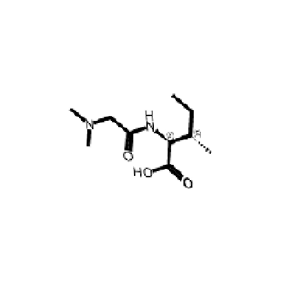 CC[C@H](C)[C@H](NC(=O)CN(C)C)C(=O)O